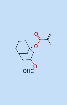 C=C(C)C(=O)OC12CCCC(CC(OC=O)C1)C2